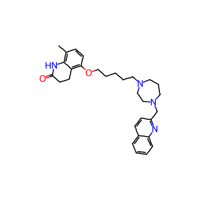 Cc1ccc(OCCCCCN2CCCN(Cc3ccc4ccccc4n3)CC2)c2c1NC(=O)CC2